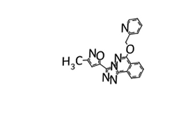 Cc1cc(-c2nnc3c4ccccc4c(OCc4ccccn4)nn23)on1